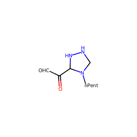 CCCCCN1CNNC1C(=O)C=O